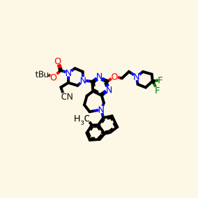 Cc1cccc2cccc(N3CCCc4c(nc(OCCN5CCC(F)(F)CC5)nc4N4CCN(C(=O)OC(C)(C)C)C(CC#N)C4)C3)c12